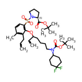 C=CCc1c(C)ccc(S(=O)(=O)N2CCC[C@H]2C(=O)OC(C)(C)C)c1OC(C=C)CCCCN(C(=O)OC(C)(C)C)C1CCC(F)(F)CC1